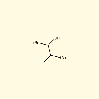 CC(C(O)C(C)(C)C)C(C)(C)C